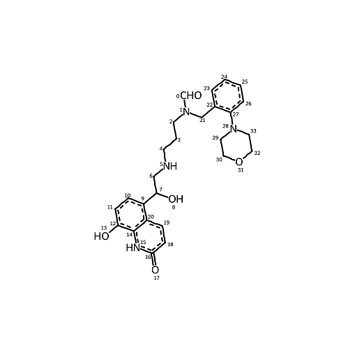 O=CN(CCCNCC(O)c1ccc(O)c2[nH]c(=O)ccc12)Cc1ccccc1N1CCOCC1